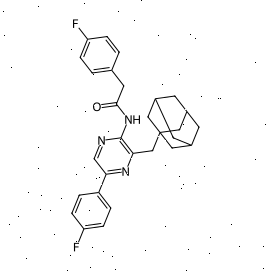 O=C(Cc1ccc(F)cc1)Nc1ncc(-c2ccc(F)cc2)nc1CC12CC3CC(CC(C3)C1)C2